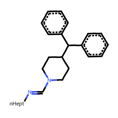 CCCCCCCN=CN1CCC(C(c2ccccc2)c2ccccc2)CC1